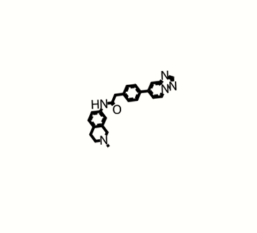 CN1CCc2ccc(NC(=O)Cc3ccc(-c4ccn5ncnc5c4)cc3)cc2C1